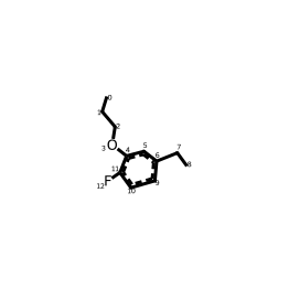 CCCOc1cc(CC)ccc1F